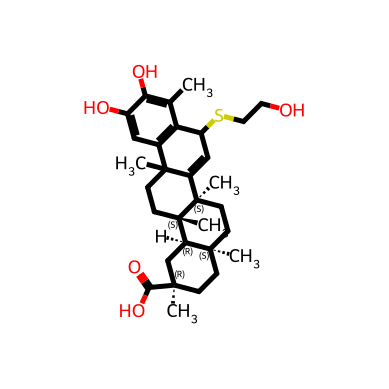 Cc1c(O)c(O)cc2c1C(SCCO)C=C1C2(C)CC[C@@]2(C)[C@@H]3C[C@](C)(C(=O)O)CC[C@]3(C)CC[C@]12C